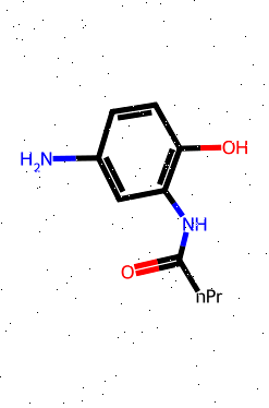 CCCC(=O)Nc1cc(N)ccc1O